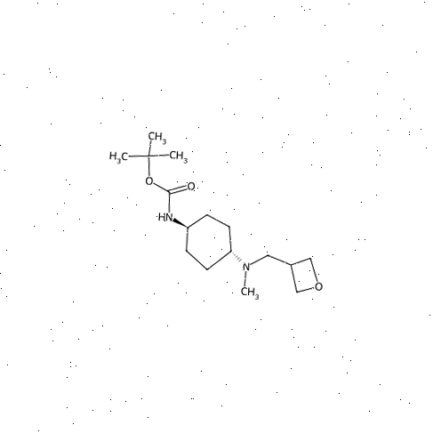 CN(CC1COC1)[C@H]1CC[C@H](NC(=O)OC(C)(C)C)CC1